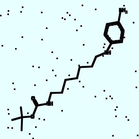 CC(C)(C)OC(=O)NCCCCCCCNc1ccc(N)cc1